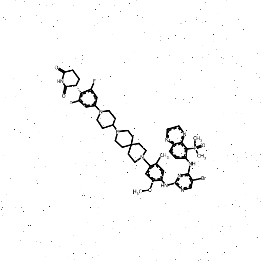 COc1cc(N2CCC3(CC2)CCN(C2CCN(c4cc(F)c([C@H]5CCC(=O)NC5=O)c(F)c4)CC2)CC3)c(C)cc1Nc1ncc(Br)c(Nc2ccc3nccnc3c2P(C)(C)=O)n1